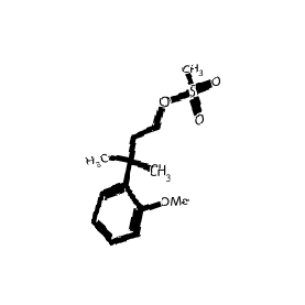 COc1ccccc1C(C)(C)CCOS(C)(=O)=O